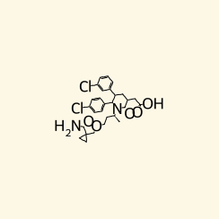 C[C@@H](CCOCC1(C(N)=O)CC1)N1C(=O)C(CC(=O)O)CC(c2cccc(Cl)c2)C1c1ccc(Cl)cc1